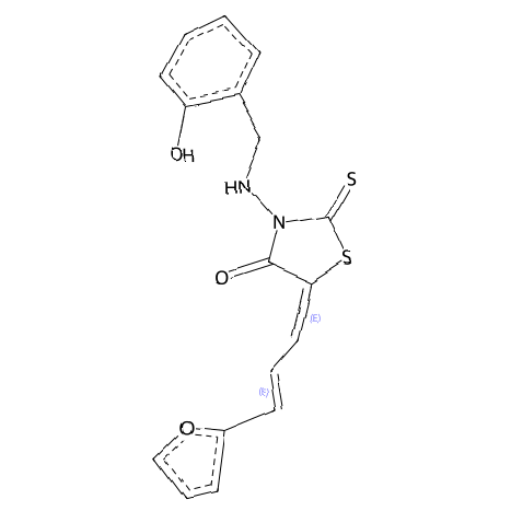 O=C1/C(=C\C=C\c2ccco2)SC(=S)N1NCc1ccccc1O